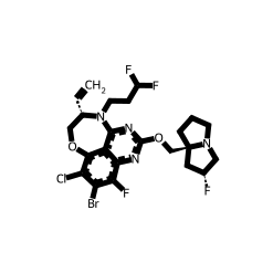 C=C[C@H]1COc2c(Cl)c(Br)c(F)c3nc(OC[C@@]45CCCN4C[C@H](F)C5)nc(c23)N1CCC(F)F